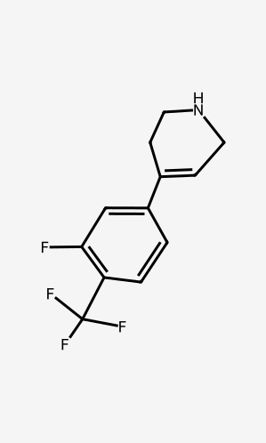 Fc1cc(C2=CCNCC2)ccc1C(F)(F)F